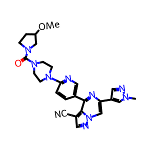 COC1CCN(C(=O)N2CCN(c3ccc(-c4nc(-c5cnn(C)c5)cn5ncc(C#N)c45)cn3)CC2)C1